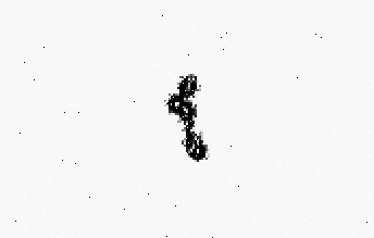 C1=NN(CCc2cn3ccccc3n2)Cc2cccc(N3CCOCC3)c21